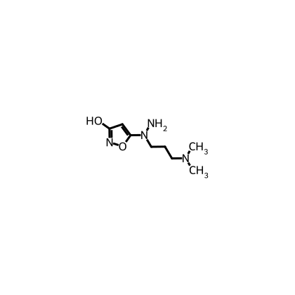 CN(C)CCCN(N)c1cc(O)no1